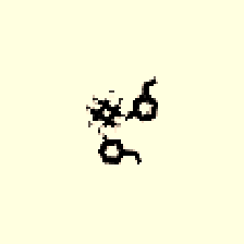 CCc1cccc(OC2(F)C(F)(F)C(F)(F)C2(F)Oc2cccc(CC)c2)c1